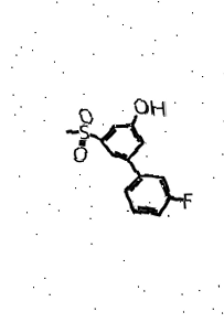 CS(=O)(=O)c1cc(O)cc(-c2cccc(F)c2)c1